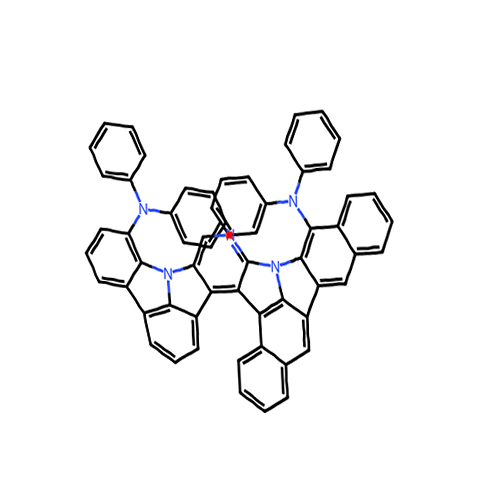 c1ccc(N(c2ccccc2)c2cccc3c4cccc5c6c7c8c9ccccc9cc9c%10cc%11ccccc%11c(N(c%11ccccc%11)c%11ccccc%11)c%10n(c7ncc6n(c23)c45)c98)cc1